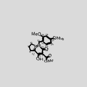 COC(=O)C1=C(O)[C@@]2(C)CCCN2N(Cc2ccc(OC)cc2OC)C1=O